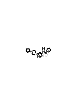 O=C(Nc1cc(N2CCN(C3CCCC3)CC2)ncn1)N1CCCC1